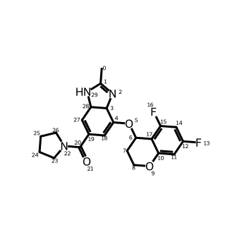 CC1=NC2C(OC3CCOc4cc(F)cc(F)c43)=CC(C(=O)N3CCCC3)=CC2N1